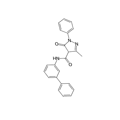 CC1=NN(c2ccccc2)C(=O)C1C(=O)Nc1cccc(-c2ccccc2)c1